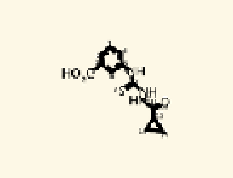 O=C(O)c1cccc(NC(=S)NNC(=O)C2CC2)c1